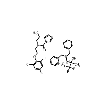 CCCN(CCOc1c(Cl)cc(Cl)cc1Cl)C(=O)n1ccnc1.C[C@H](N(Cc1ccccc1)Cc1ccccc1)[C@](C)(O)C(F)(F)F